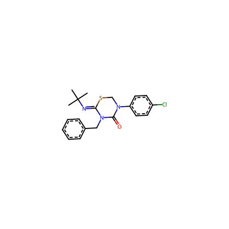 CC(C)(C)N=C1SCN(c2ccc(Cl)cc2)C(=O)N1Cc1ccccc1